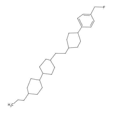 CCCC1CCC(C2CCC(CCC3CCC(c4ccc(CF)cc4)CC3)CC2)CC1